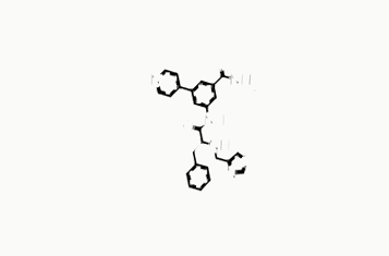 NC(=O)c1cc(NC(=O)[C@H](Cc2ccccc2)NCc2cscn2)cc(-c2ccncc2)c1